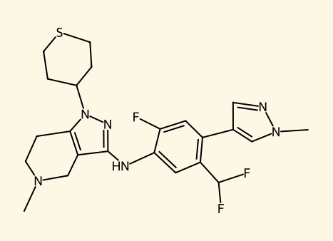 CN1CCc2c(c(Nc3cc(C(F)F)c(-c4cnn(C)c4)cc3F)nn2C2CCSCC2)C1